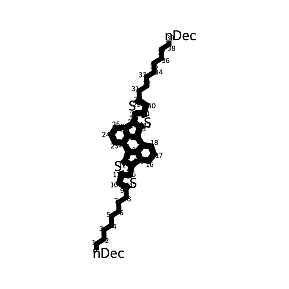 CCCCCCCCCCCCCCCCCCc1cc2sc3c(c4cccc5c4c3c3cccc4c6c7sc(CCCCCCCCCCCCCCCCCC)cc7sc6c5c43)c2s1